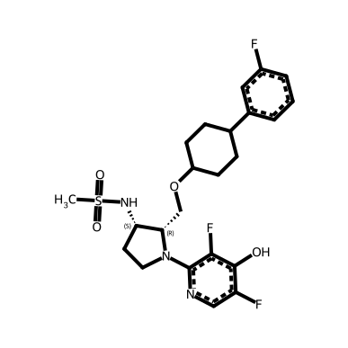 CS(=O)(=O)N[C@H]1CCN(c2ncc(F)c(O)c2F)[C@H]1COC1CCC(c2cccc(F)c2)CC1